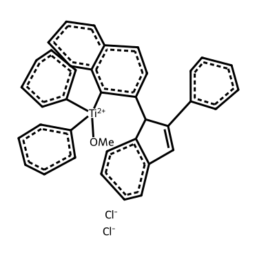 C[O][Ti+2]([c]1ccccc1)([c]1ccccc1)[c]1c(C2C(c3ccccc3)=Cc3ccccc32)ccc2ccccc12.[Cl-].[Cl-]